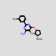 CC(=O)N[C@H]1CC[C@@H](Oc2nc(-c3cccc(C#N)c3)nc(N)c2C(=O)O)C1